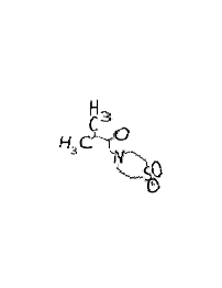 CC(C)C(=O)CN1CCS(=O)(=O)CC1